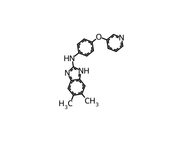 Cc1cc2nc(Nc3ccc(Oc4cccnc4)cc3)[nH]c2cc1C